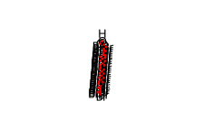 O=[SH](=O)OC(Br)(Br)C(Br)(Br)C(Br)(Br)C(Br)(Br)C(Br)(Br)C(Br)(Br)C(Br)(Br)C(Br)(Br)C(Br)(Br)C(Br)(Br)C(Br)(Br)C(Br)(Br)C(Br)(Br)C(Br)(Br)C(Br)(Br)C(Br)(Br)C(Br)(Br)C(Br)(Br)C(Br)(Br)C(Br)(Br)C(Br)(Br)C(Br)(Br)C(Br)(Br)C(Br)(Br)Br